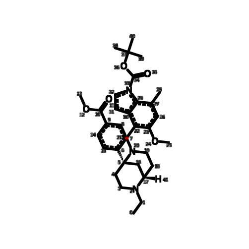 CCN1CC[C@]2(c3ccc(C(=O)OC)cc3)C[C@@H]1CCN2Cc1c(OC)cc(C)c2c1ccn2C(=O)OC(C)(C)C